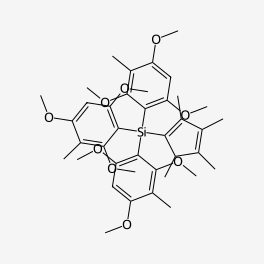 COc1cc(OC)c([Si](C2=C(C)C(C)=C(C)C2C)(c2c(OC)cc(OC)c(C)c2OC)c2c(OC)cc(OC)c(C)c2OC)c(OC)c1C